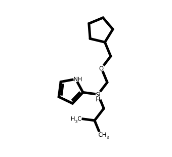 CC(C)C[SiH](COCC1CCCC1)c1ccc[nH]1